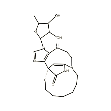 CC1OC(n2cnc3c2NCCN2CCCCCCC[C@@]34C=C2NC4=O)C(O)C1O